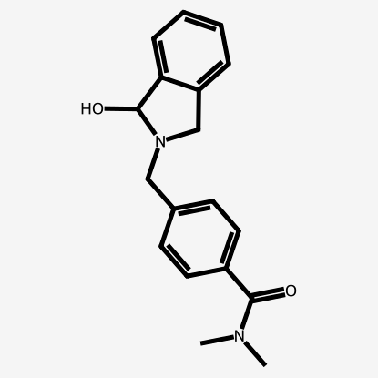 CN(C)C(=O)c1ccc(CN2Cc3ccccc3C2O)cc1